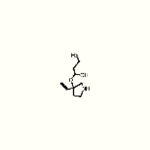 C=CC1(OC(O)CCS)CCNC1